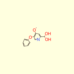 COc1cc(C(O)O)ncc1Oc1ccccc1